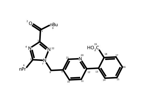 CCCCC(=O)c1nc(CCC)n(Cc2ccc(-c3ccccc3C(=O)O)nc2)n1